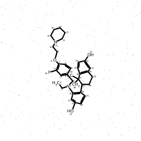 CCN(Cc1ccc(OCCN2CCCCC2)c(F)c1)c1cc(O)ccc1C1CCc2cc(O)ccc2C1(C)C